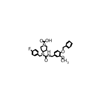 COc1cc(CNC(=O)N(Cc2ccc(F)cc2)C2CCN(C(=O)O)CC2)ccc1OCc1ccccc1